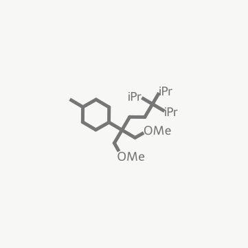 COCC(CCC(C(C)C)(C(C)C)C(C)C)(COC)C1CCC(C)CC1